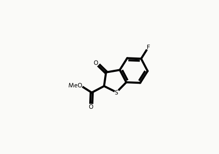 COC(=O)C1Sc2ccc(F)cc2C1=O